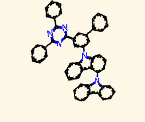 c1ccc(-c2cc(-c3nc(-c4ccccc4)nc(-c4ccccc4)n3)cc(-n3c4ccccc4c4c(-n5c6ccccc6c6ccccc65)cccc43)c2)cc1